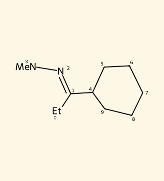 CC/C(=N\NC)C1CCCCC1